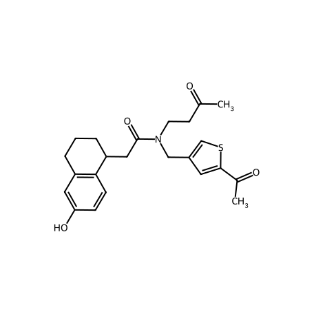 CC(=O)CCN(Cc1csc(C(C)=O)c1)C(=O)CC1CCCc2cc(O)ccc21